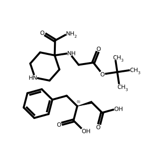 CC(C)(C)OC(=O)CNC1(C(N)=O)CCNCC1.O=C(O)C[C@H](Cc1ccccc1)C(=O)O